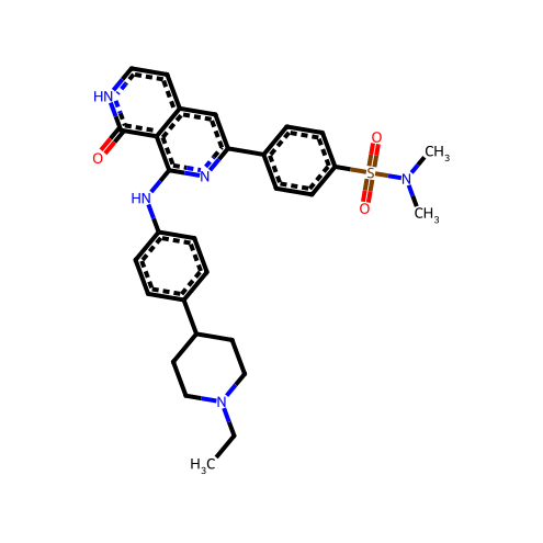 CCN1CCC(c2ccc(Nc3nc(-c4ccc(S(=O)(=O)N(C)C)cc4)cc4cc[nH]c(=O)c34)cc2)CC1